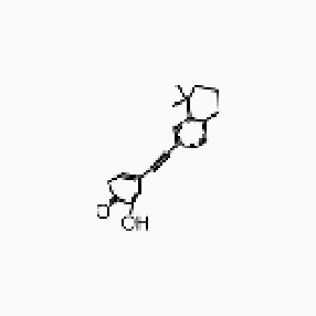 CC1(C)CCCc2ccc(C#CC3=[C]CC(=O)C(O)=C3)cc21